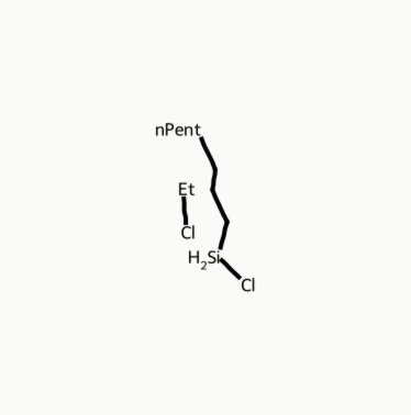 CCCCCCCC[SiH2]Cl.CCCl